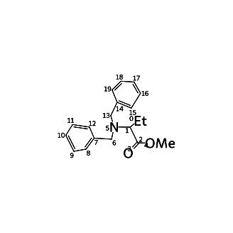 CCC(C(=O)OC)N(Cc1ccccc1)Cc1ccccc1